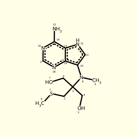 CSCC(CO)(CO)N(C)c1c[nH]c2c(N)ncnc12